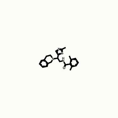 Cc1ncc(C(CNC(=O)c2c(C)cccc2C)N2CCc3ccccc3C2)s1